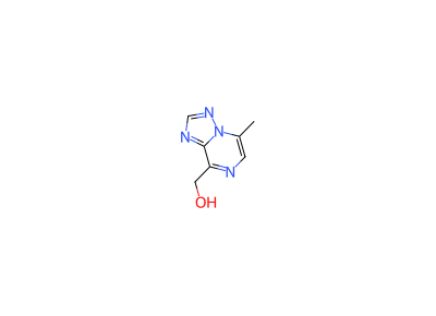 Cc1cnc(CO)c2ncnn12